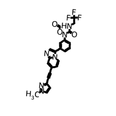 Cn1ccc(C#Cc2ccn3c(-c4cccc(N(OC=O)C(=O)NCC(F)(F)F)c4)cnc3c2)n1